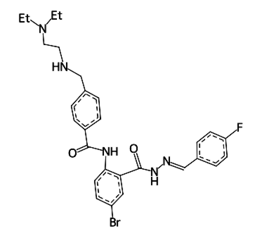 CCN(CC)CCNCc1ccc(C(=O)Nc2ccc(Br)cc2C(=O)N/N=C/c2ccc(F)cc2)cc1